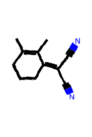 CC1=C(C)C(=C(C#N)C#N)CCC1